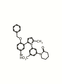 Cc1ccc(-c2cc(Br)ccc2OCc2ccccc2)n1-c1cc(C(=O)O)cc(N2CCCCC2=O)c1